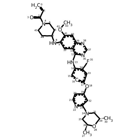 C=CC(=O)N1CCC(Nc2cc3c(Nc4ccc(Oc5ccnc(N6C[C@H](C)O[C@@H](C)C6)c5)cc4F)ncnc3cc2OC)CC1